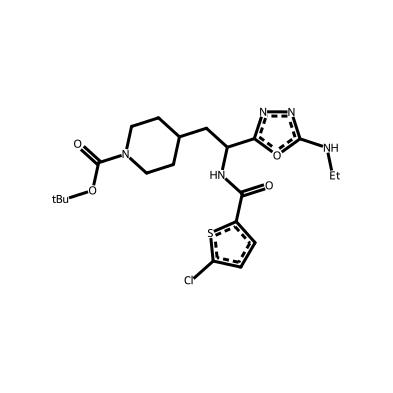 CCNc1nnc(C(CC2CCN(C(=O)OC(C)(C)C)CC2)NC(=O)c2ccc(Cl)s2)o1